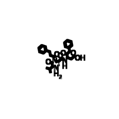 CC(C)[C@H](N)C(=O)N(C(=O)CCc1ccccc1)[C@@H](C)C(=O)NC(CC(=O)O)C(=O)Cc1ccccc1